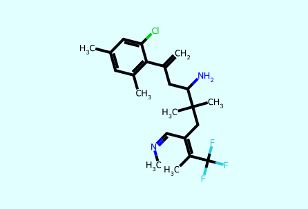 C=C(CC(N)C(C)(C)CC(/C=N\C)=C(/C)C(F)(F)F)c1c(C)cc(C)cc1Cl